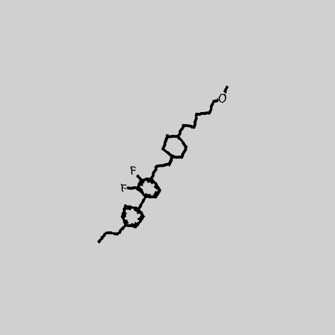 CCCc1ccc(-c2ccc(CCC3CCC(CCCCCOC)CC3)c(F)c2F)cc1